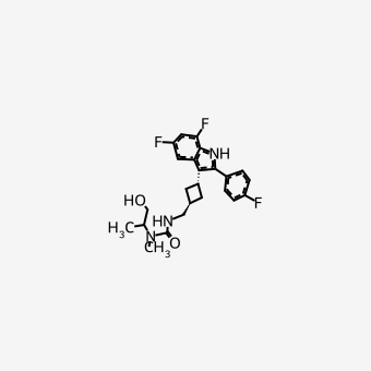 CC(CO)N(C)C(=O)NC[C@H]1C[C@H](c2c(-c3ccc(F)cc3)[nH]c3c(F)cc(F)cc32)C1